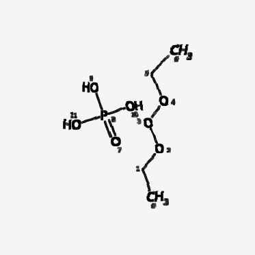 CCOOOCC.O=P(O)(O)O